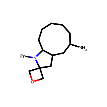 BC1CCCCCC2C(C1)CC1(COC1)N2C(C)C